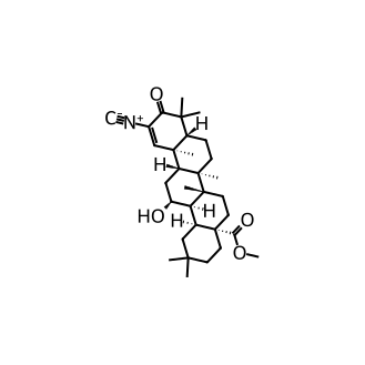 [C-]#[N+]C1=C[C@]2(C)[C@H]3C[C@H](O)[C@@H]4[C@@H]5CC(C)(C)CC[C@]5(C(=O)OC)CC[C@@]4(C)[C@]3(C)CC[C@H]2C(C)(C)C1=O